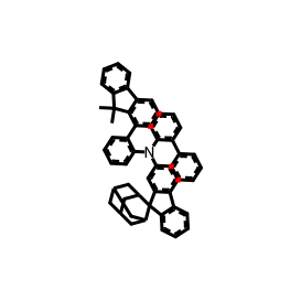 CC1(C)c2ccccc2-c2cccc(-c3ccccc3N(c3ccc4c(c3)C3(c5ccccc5-4)C4CC5CC(C4)CC3C5)c3ccccc3-c3ccccc3)c21